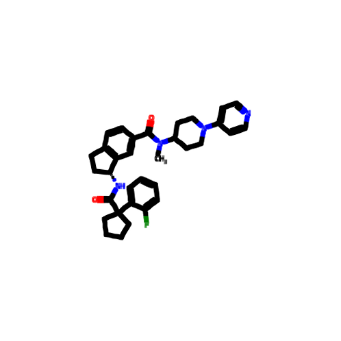 CN(C(=O)c1ccc2c(c1)[C@H](NC(=O)C1(c3ccccc3F)CCCC1)CC2)C1CCN(c2ccncc2)CC1